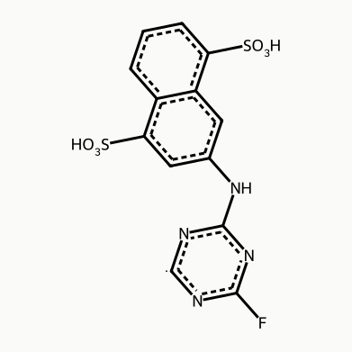 O=S(=O)(O)c1cc(Nc2n[c]nc(F)n2)cc2c(S(=O)(=O)O)cccc12